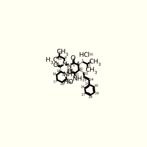 CC(C)C[C@@H](C(=O)NN(CC(C)C)C(=O)[C@H]1CCCCN1)[C@H](CC=Cc1ccccc1)C(=O)NO.Cl